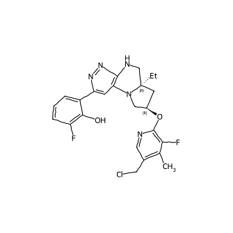 CC[C@@]12CNc3nnc(-c4cccc(F)c4O)cc3N1C[C@H](Oc1ncc(CCl)c(C)c1F)C2